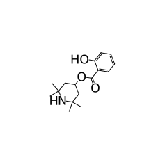 CC1(C)CC(OC(=O)c2ccccc2O)CC(C)(C)N1